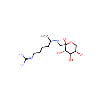 NC(N)=NCCCCC(NC[C@]1(O)OC[C@@H](O)[C@@H](O)[C@@H]1O)C(=O)O